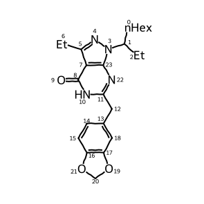 CCCCCCC(CC)n1nc(CC)c2c(=O)[nH]c(Cc3ccc4c(c3)OCO4)nc21